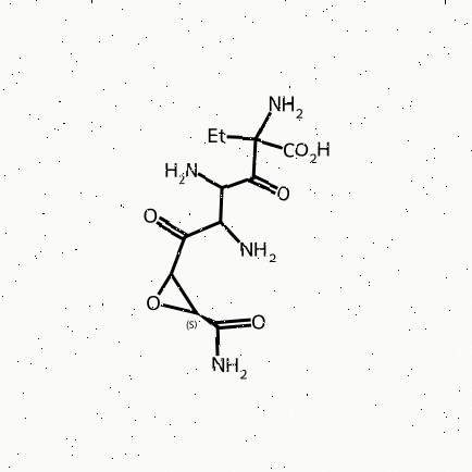 CCC(N)(C(=O)O)C(=O)C(N)C(N)C(=O)C1O[C@@H]1C(N)=O